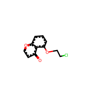 O=c1ccoc2cccc(OCCCl)c12